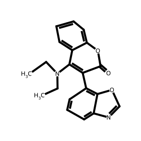 CCN(CC)c1c(-c2cccc3ncoc23)c(=O)oc2ccccc12